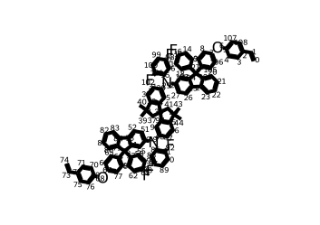 C=Cc1ccc(Oc2ccc(C3(c4ccc(F)cc4)c4ccccc4-c4ccc(N(c5ccc6c(c5)C5(CC6(C)C)CC(C)(C)c6ccc(N(c7ccc8c(c7)C(c7ccc(F)cc7)(c7ccc(Oc9ccc(C=C)cc9)cc7)c7ccccc7-8)c7cc(F)ccc7F)cc65)c5cc(F)ccc5F)cc43)cc2)cc1